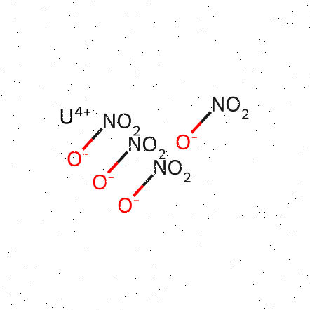 O=[N+]([O-])[O-].O=[N+]([O-])[O-].O=[N+]([O-])[O-].O=[N+]([O-])[O-].[U+4]